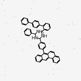 NC(NC(NCc1ccccc1-c1ccc(-c2ccccc2)cc1)c1ccc(-c2c3ccccc3cc3c2ccc2ccccc23)cc1)c1ccccc1